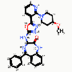 COC1CCN(c2ncccc2-c2nnc(NC3N=C(c4ccccc4)c4ccccc4NC3=O)o2)CC1